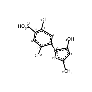 Cc1cc(O)n(-c2cc(Cl)c(S(=O)(=O)O)cc2Cl)n1